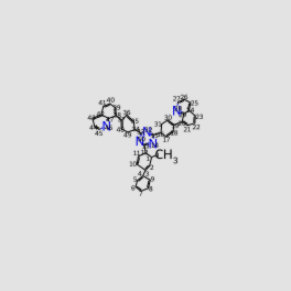 CC1C=C(c2ccccc2)C=CC1c1nc(C2C=CC(c3cccc4cccnc34)=CC2)nc(C2C=CC(c3cccc4cccnc34)=CC2)n1